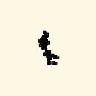 CC(=O)NCCCC[C@H](NC(=O)OC(C)(C)C)C(=O)NCCC(=O)O[C@@H]1[C@@]2(C(C)C)OC2[C@@H]2O[C@]23[C@]12O[C@H]2CC1C2=C(CC[C@@]13C)C(=O)OC2